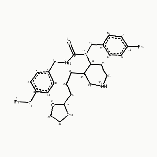 CC(C)Oc1ccc(CNC(=O)N(Cc2ccc(F)cc2)C2CCNCC2CCCC2OCCO2)cc1